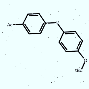 CC(=O)c1ccc([I+]c2ccc(OC(C)(C)C)cc2)cc1